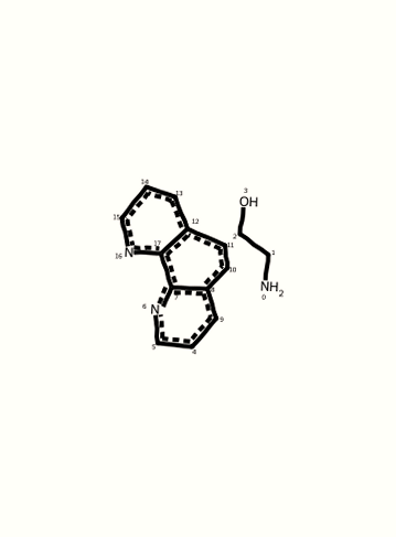 NCCO.c1cnc2c(c1)ccc1cccnc12